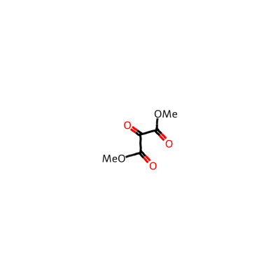 COC(=O)C(=O)C(=O)OC